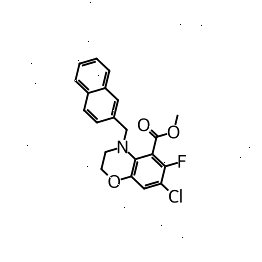 COC(=O)c1c(F)c(Cl)cc2c1N(Cc1ccc3ccccc3c1)CCO2